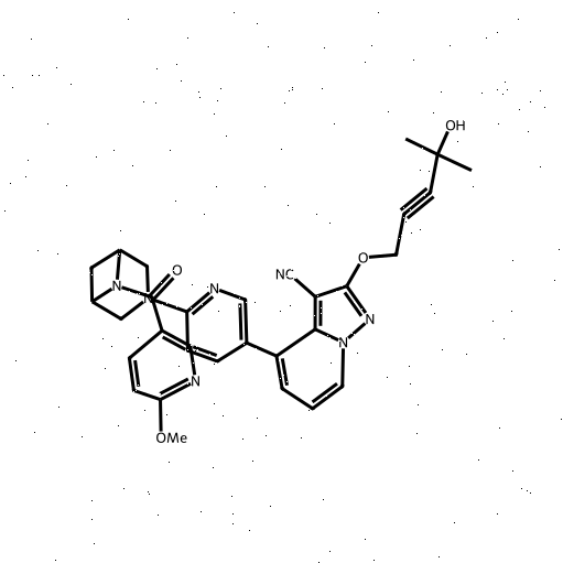 COc1ccc(C(=O)N2C3CC2CN(c2ccc(-c4cccn5nc(OCC#CC(C)(C)O)c(C#N)c45)cn2)C3)cn1